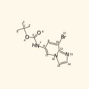 CC(C)(C)OC(=O)Nc1cc(Br)c2nccn2c1